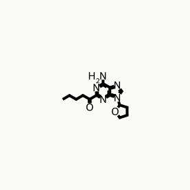 CCCCC(=O)c1nc(N)c2ncn(C3CCCO3)c2n1